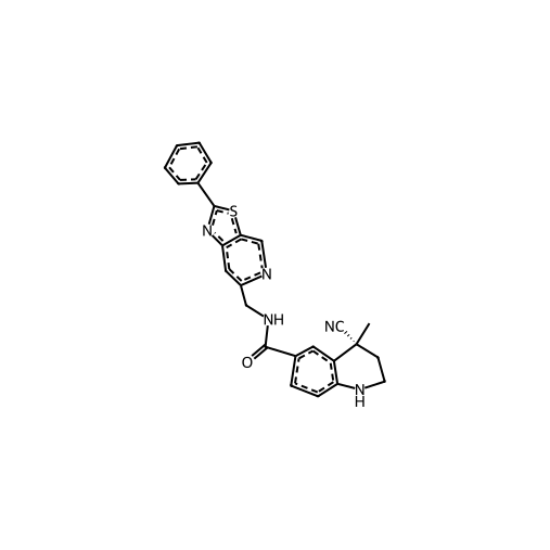 C[C@@]1(C#N)CCNc2ccc(C(=O)NCc3cc4nc(-c5ccccc5)sc4cn3)cc21